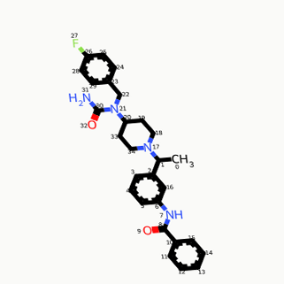 CC(c1cccc(NC(=O)c2ccccc2)c1)N1CCC(N(Cc2ccc(F)cc2)C(N)=O)CC1